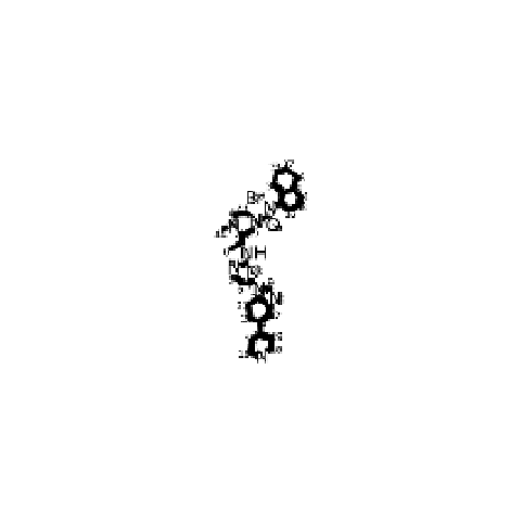 CC(Nc1nccc(-n2cnc3cc(-c4ccncc4)ccc32)n1)C1CN(C(=O)N(Br)c2cccc3ccccc23)CCN1C